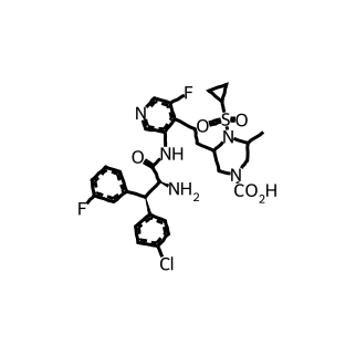 CC1CN(C(=O)O)CC(CCc2c(F)cncc2NC(=O)[C@@H](N)[C@@H](c2ccc(Cl)cc2)c2cccc(F)c2)N1S(=O)(=O)C1CC1